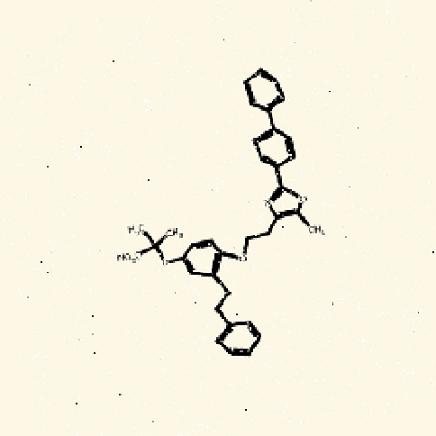 Cc1oc(-c2ccc(-c3ccccc3)cc2)nc1CCOc1ccc(OC(C)(C)C(=O)O)cc1CCc1ccccc1